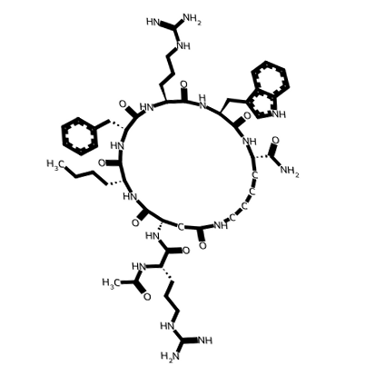 CCCC[C@H]1NC(=O)[C@@H](NC(=O)[C@H](CCCNC(=N)N)NC(C)=O)CC(=O)NCCCC[C@@H](C(N)=O)NC(=O)[C@H](Cc2c[nH]c3ccccc23)NC(=O)[C@H](CCCNC(=N)N)NC(=O)[C@@H](Cc2ccccc2)NC1=O